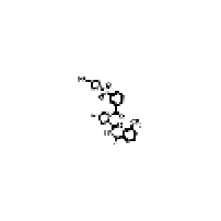 C[C@@H](NC(=O)[C@H]1C[C@H](F)CN1C(=O)c1cccc(S(=O)(=O)N2CC(C#N)C2)c1)c1cccc(C(F)(F)F)c1